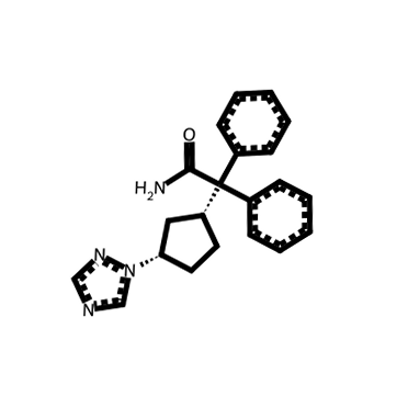 NC(=O)C(c1ccccc1)(c1ccccc1)[C@@H]1CC[C@H](n2cncn2)C1